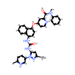 Cc1ccc(-n2nc(C(C)(C)C)cc2NC(=O)Nc2ccc(Oc3ccnc(C(=O)N(C)c4ccccc4)c3)c3ccccc23)cn1